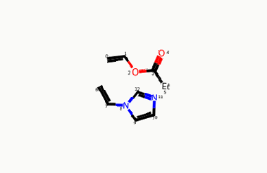 C=COC(=O)CC.C=Cn1ccnc1